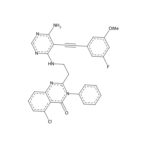 COc1cc(F)cc(C#Cc2c(N)ncnc2NCCc2nc3cccc(Cl)c3c(=O)n2-c2ccccc2)c1